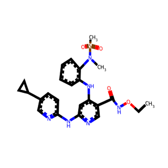 CCONC(=O)c1cnc(Nc2ccc(C3CC3)cn2)cc1Nc1ccccc1N(C)S(C)(=O)=O